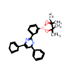 CC1(C)OB(c2cccc(-c3nc(C4=CCCC=C4)cc(-c4ccccc4)n3)c2)OC1(C)C